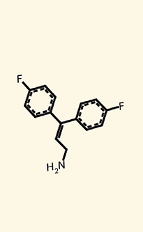 NCC=C(c1ccc(F)cc1)c1ccc(F)cc1